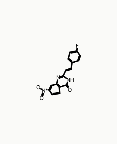 O=c1[nH]c(C=Cc2ccc(F)cc2)nc2cc([N+](=O)[O-])ccc12